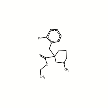 CCOC(=O)C1(Cc2ccccc2F)CCCN(C)C1